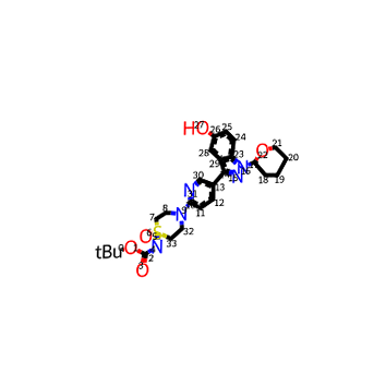 CC(C)(C)OC(=O)N=S1(=O)CCN(c2ccc(-c3nn(C4CCCCO4)c4ccc(O)cc34)cn2)CC1